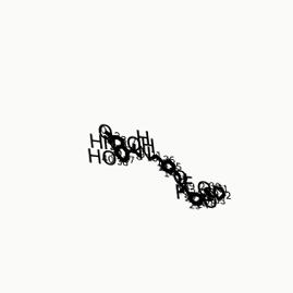 O=c1ccc2c(C(O)CNCCc3ccc(OCC(F)(F)c4cccc(S(=O)(=O)C5CCCC5)c4)cc3)ccc(O)c2[nH]1